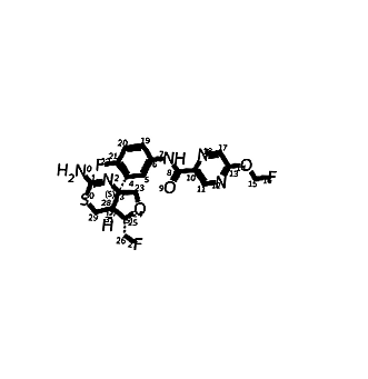 NC1=N[C@@]2(c3cc(NC(=O)c4cnc(OCF)cn4)ccc3F)CO[C@H](CF)[C@H]2CS1